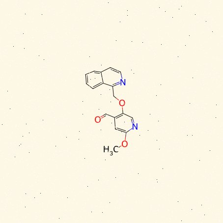 COc1cc(C=O)c(OCc2nccc3ccccc23)cn1